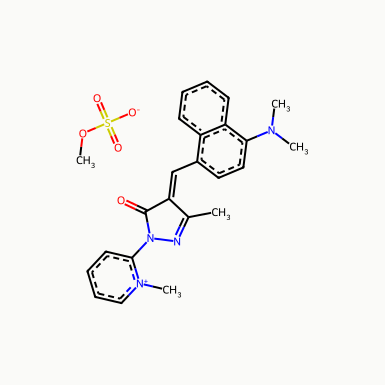 CC1=NN(c2cccc[n+]2C)C(=O)/C1=C/c1ccc(N(C)C)c2ccccc12.COS(=O)(=O)[O-]